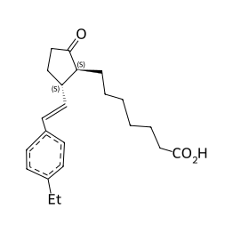 CCc1ccc(C=C[C@@H]2CCC(=O)[C@H]2CCCCCCC(=O)O)cc1